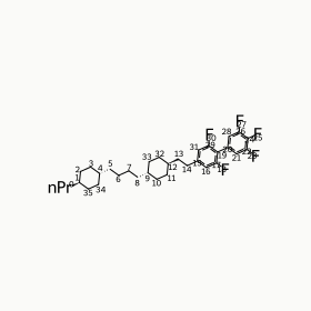 CCC[C@H]1CC[C@H](CCCC[C@H]2CC[C@H](CCc3cc(F)c(-c4cc(F)c(F)c(F)c4)c(F)c3)CC2)CC1